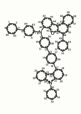 c1ccc(-c2ccc(N(c3ccc(-c4ccc(-c5cccc6c5c5ccccc5n6-c5ccccc5)cc4)cc3)c3cccc4c3oc3c(-c5ccccc5)cc5ccccc5c34)cc2)cc1